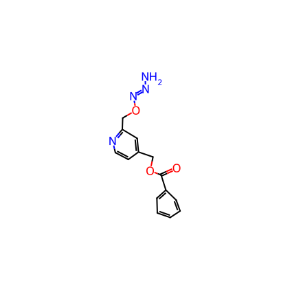 NN=NOCc1cc(COC(=O)c2ccccc2)ccn1